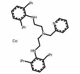 CC(C)c1cccc(C(C)C)c1NCCN(CCNc1c(C(C)C)cccc1C(C)C)Cc1ccccn1.[Co]